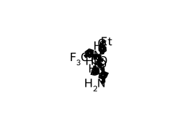 CCOc1ccc(C[C@@H](NC(=O)c2cccc(C(F)(F)F)c2)C(=O)N[C@@H](Cc2ccccc2)C(=O)NCc2ccc(CN)cc2)cc1